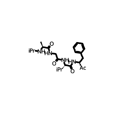 CC(=O)[C@H](Cc1ccccc1)NC(=O)[C@@H](NC(=O)CNC(=O)[C@H](C)NC(C)C)C(C)C